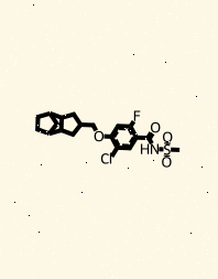 CS(=O)(=O)NC(=O)c1cc(Cl)c(OCC2CC3C4CCC(C4)C3C2)cc1F